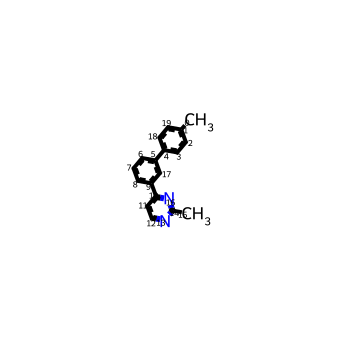 Cc1ccc(-c2cccc(-c3ccnc(C)n3)c2)cc1